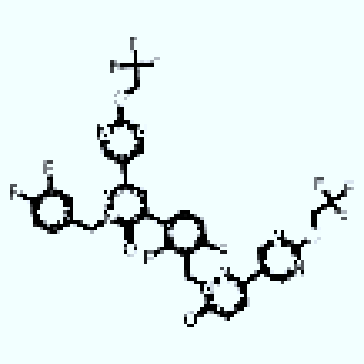 O=c1ccc(-c2cnc(OCC(F)(F)F)nc2)nn1Cc1c(F)ccc(-c2cc(-c3cnc(OCC(F)(F)F)nc3)nn(Cc3ccc(F)c(F)c3)c2=O)c1F